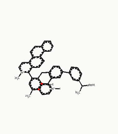 CCCCCCCc1cc(C)cc(-c2c3ccc4c5ccccc5ccc4c3cc[n+]2C)c1Cc1ccc(-c2cccc(C(C)CCCCC)c2)cc1-c1cccc[n+]1I